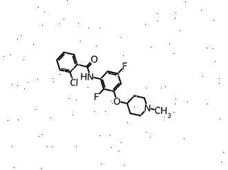 CN1CCC(Oc2cc(F)cc(NC(=O)c3ccccc3Cl)c2F)CC1